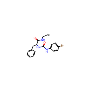 CC(=O)CNC(=O)C(Cc1ccccc1)NC(=O)Nc1ccc(Br)cc1